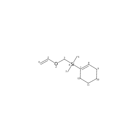 C=COC[Si](C)(C)C1=CCCCC1